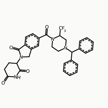 O=C1CCC(N2Cc3cc(C(=O)N4CCN(C(c5ccccc5)c5ccccc5)CC4C(F)(F)F)ccc3C2=O)C(=O)N1